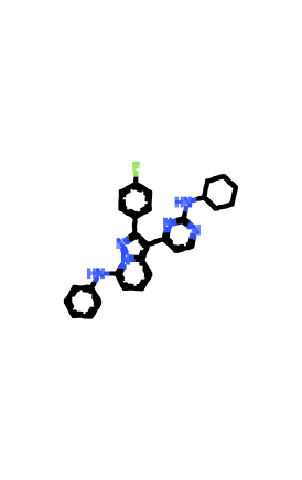 Fc1ccc(-c2nn3c(Nc4ccccc4)cccc3c2-c2ccnc(NC3CCCCC3)n2)cc1